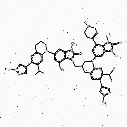 CCCc1cc(N2CCCc3cc(-c4cnn(C)c4)c(C(F)F)cc32)cc2c1n(CC1Cc3cc(-c4cnn(C)c4)c(C(F)F)cc3N(c3cc(C4=CC[S+]([O-])CC4)c4c(c3)n(C)c(=O)n4C)C1)c(=O)n2C